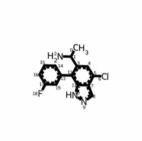 CC(N)c1cc(Cl)c2cn[nH]c2c1-c1cccc(F)c1